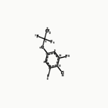 Fc1cc(OC(F)(F)C(F)(F)F)cc(F)c1Cl